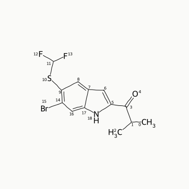 CC(C)C(=O)c1cc2cc(SC(F)F)c(Br)cc2[nH]1